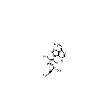 N/N=c1/nc[nH]c2c1ncn2[C@@H]1C[C@H]([C@H](O)C#CC(F)(F)F)[C@@H](O)[C@H]1O